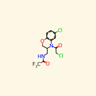 O=C(CCl)N1c2cc(Cl)ccc2OCC1CNC(=O)C(F)(F)F